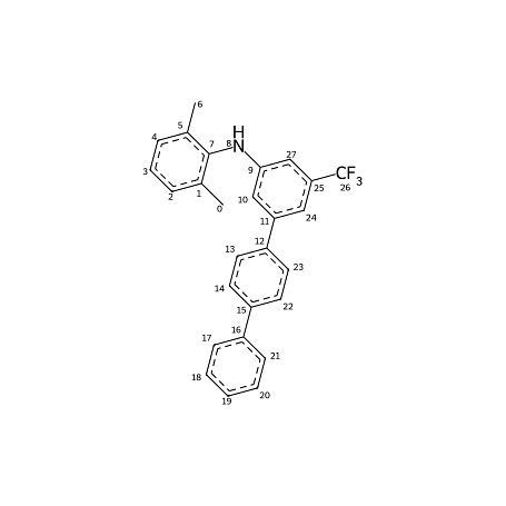 Cc1cccc(C)c1Nc1cc(-c2ccc(-c3ccccc3)cc2)cc(C(F)(F)F)c1